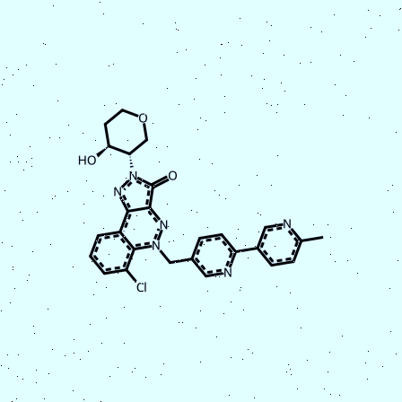 Cc1ccc(-c2ccc(Cn3nc4c(=O)n([C@H]5COCC[C@@H]5O)nc-4c4cccc(Cl)c43)cn2)cn1